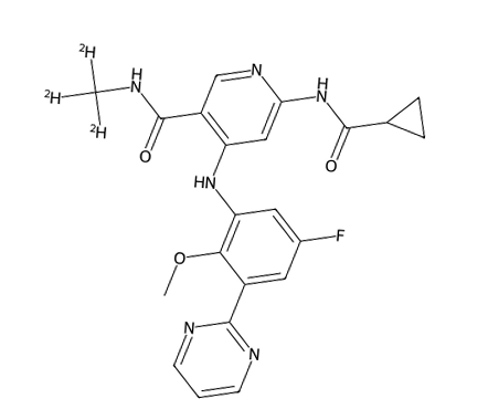 [2H]C([2H])([2H])NC(=O)c1cnc(NC(=O)C2CC2)cc1Nc1cc(F)cc(-c2ncccn2)c1OC